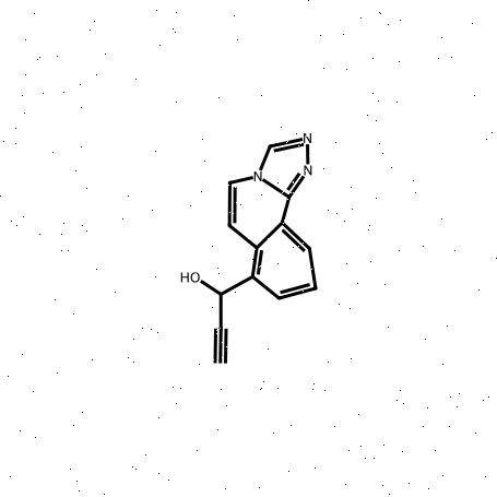 C#CC(O)c1cccc2c1ccn1cnnc21